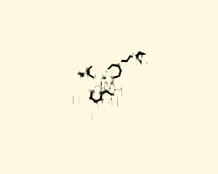 Cc1oc(=O)oc1COC(=O)N1CC[C@@H](CCCn2ccnn2)CC[C@H]1C(=O)N[C@@H]([C@H]1O[C@H](C)[C@H](O)[C@@H](O)[C@H]1O)[C@H](C)Cl